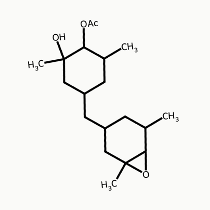 CC(=O)OC1C(C)CC(CC2CC(C)C3OC3(C)C2)CC1(C)O